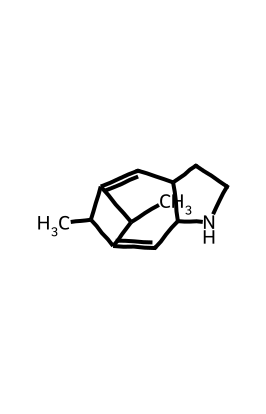 CC1C2=CC3CCNC3C=C1C2C